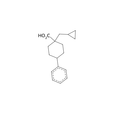 O=C(O)C1(CC2CC2)CCC(c2ccccc2)CC1